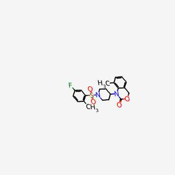 Cc1ccc(F)cc1S(=O)(=O)N1CCC(N2C(=O)OCc3cccc(C)c32)CC1